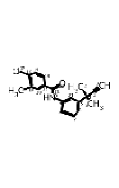 C#CC(C)(C)c1cccc(NC(=O)c2ccc(Cl)c(C)c2)c1